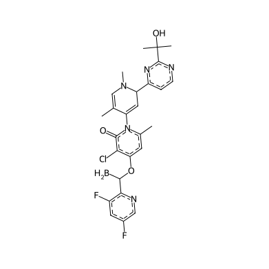 BC(Oc1cc(C)n(C2=CC(c3ccnc(C(C)(C)O)n3)N(C)C=C2C)c(=O)c1Cl)c1ncc(F)cc1F